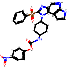 O=C(NC1CCC(n2c(S(=O)(=O)c3ccccc3)nc3cnc4[nH]ccc4c32)CC1)Oc1ccc([N+](=O)[O-])cc1